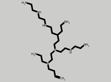 C=CCCN(CCN)CCN(CCNCCN)CCC(CCN)CCNCCNCCN